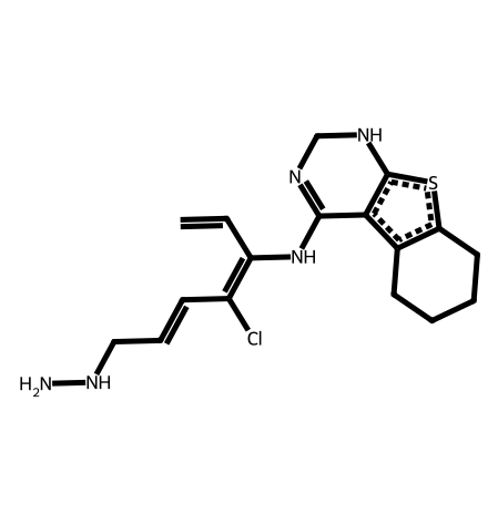 C=C/C(NC1=NCNc2sc3c(c21)CCCC3)=C(Cl)\C=C\CNN